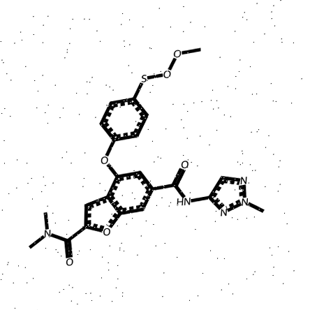 COOSc1ccc(Oc2cc(C(=O)Nc3cnn(C)n3)cc3oc(C(=O)N(C)C)cc23)cc1